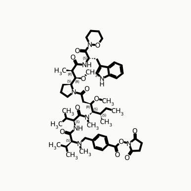 CC[C@H](C)[C@@H]([C@@H](CC(=O)N1CCC[C@H]1[C@H](OC)[C@@H](C)C(=O)N[C@@H](Cc1c[nH]c2ccccc12)C(=O)N1CCCCO1)OC)N(C)C(=O)[C@@H](NC(=O)[C@H](C(C)C)N(C)Cc1ccc(C(=O)ON2C(=O)CCC2=O)cc1)C(C)C